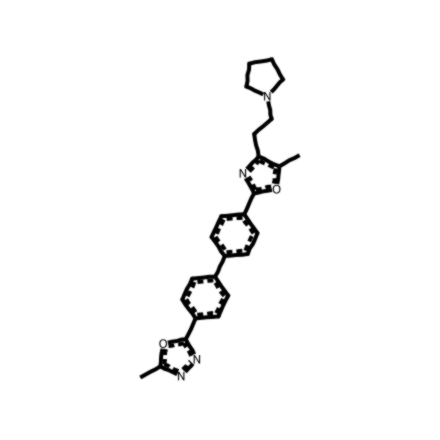 Cc1nnc(-c2ccc(-c3ccc(-c4nc(CCN5CCCC5)c(C)o4)cc3)cc2)o1